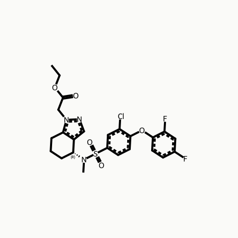 CCOC(=O)Cn1ncc2c1CCC[C@H]2N(C)S(=O)(=O)c1ccc(Oc2ccc(F)cc2F)c(Cl)c1